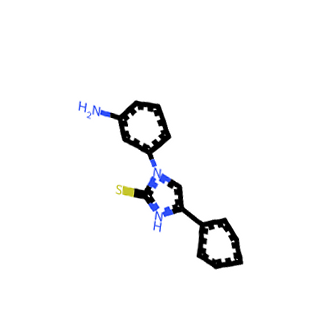 Nc1cccc(-n2cc(-c3ccccc3)[nH]c2=S)c1